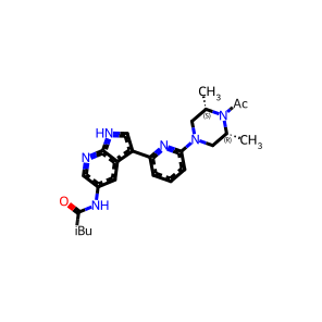 CCC(C)C(=O)Nc1cnc2[nH]cc(-c3cccc(N4C[C@@H](C)N(C(C)=O)[C@@H](C)C4)n3)c2c1